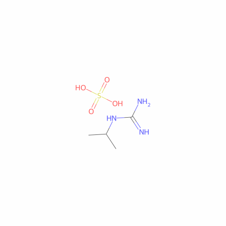 CC(C)NC(=N)N.O=S(=O)(O)O